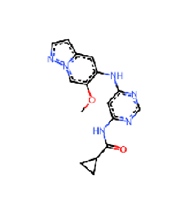 COc1cn2nccc2cc1Nc1cc(NC(=O)C2CC2)ncn1